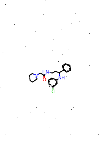 O=C(CN1CCCCC1)NCCC(Nc1cccc(Cl)c1)c1ccccc1